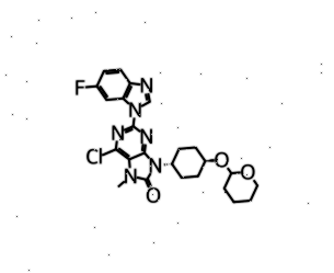 Cn1c(=O)n([C@H]2CC[C@H](OC3CCCCO3)CC2)c2nc(-n3cnc4ccc(F)cc43)nc(Cl)c21